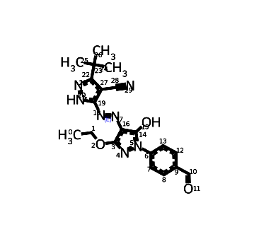 CCOc1nn(-c2ccc(C=O)cc2)c(O)c1/N=N/c1[nH]nc(C(C)(C)C)c1C#N